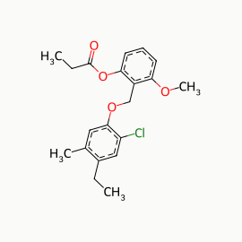 CCC(=O)Oc1cccc(OC)c1COc1cc(C)c(CC)cc1Cl